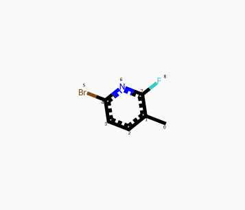 Cc1ccc(Br)nc1F